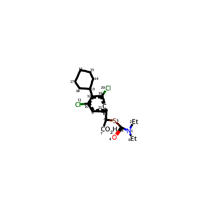 CCN(CC)C(=O)SC(C(=O)O)c1cc(Cl)c(C2CCCCC2)c(Cl)c1